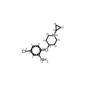 Nc1cc(Cl)ccc1OC1CCN(C2CC2)CC1